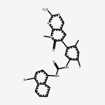 Cc1cc(F)c(NC(=O)Nc2ccc(Br)c3ccccc23)cc1-c1cc2cnc(N)nc2n(C)c1=O